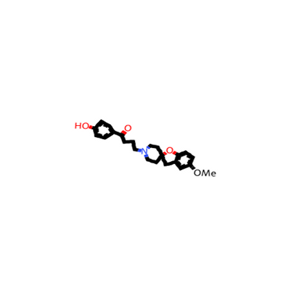 COc1ccc2c(c1)CC1(CCN(CCCC(=O)c3ccc(O)cc3)CC1)O2